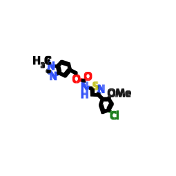 COc1cc(Cl)ccc1-c1cc(NC(=O)OCc2ccc3c(c2)ncn3C)sn1